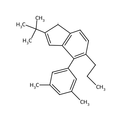 CCCc1ccc2c(c1-c1cc(C)cc(C)c1)C=C(C(C)(C)C)[CH]2